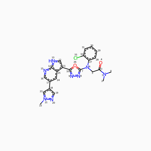 CN(C)C(=O)CN(c1nnc(-c2c[nH]c3ncc(-c4cnn(C)c4)cc23)o1)c1ccccc1Cl